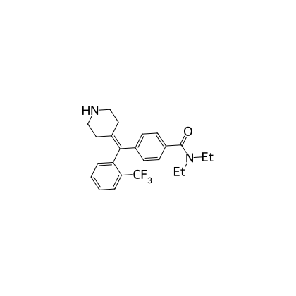 CCN(CC)C(=O)c1ccc(C(=C2CCNCC2)c2ccccc2C(F)(F)F)cc1